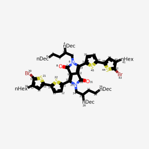 CCCCCCCCCCCCC(CCCCCCCCCC)CN1C(=O)C2=C(c3ccc(-c4cc(CCCCCC)c(Br)s4)s3)N(CC(CCCCCCCCCC)CCCCCCCCCCCC)C(=O)C2=C1c1ccc(-c2cc(CCCCCC)c(Br)s2)s1